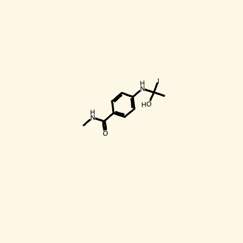 CNC(=O)c1ccc(NC(C)(O)I)cc1